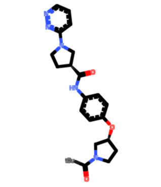 CC(C)(C)C(=O)N1CC[C@H](Oc2ccc(NC(=O)[C@H]3CCN(c4cccnn4)C3)cc2)C1